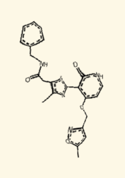 Cc1cc(COc2cc[nH]c(=O)c2-c2nc(C)c(C(=O)NCc3ccccc3)s2)no1